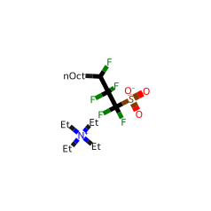 CCCCCCCCC(F)C(F)(F)C(F)(F)S(=O)(=O)[O-].CC[N+](CC)(CC)CC